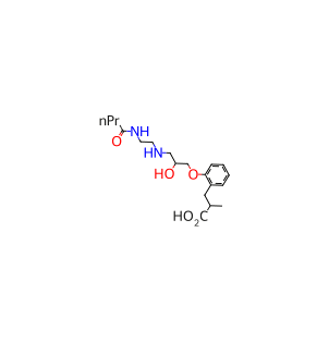 CCCC(=O)NCCNCC(O)COc1ccccc1CC(C)C(=O)O